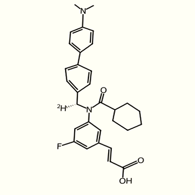 [2H][C@H](c1ccc(-c2ccc(N(C)C)cc2)cc1)N(C(=O)C1CCCCC1)c1cc(F)cc(/C=C/C(=O)O)c1